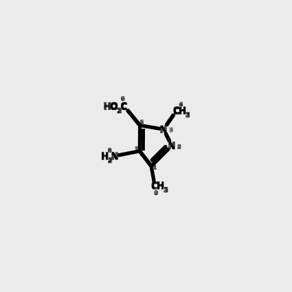 Cc1nn(C)c(C(=O)O)c1N